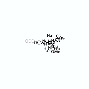 CCOc1ncc(-c2cc(N(C)CC(C)(C)COC)c3[nH]c(-c4cnc(N5CCC(OCC(=O)[O-])CC5)cn4)nc3n2)cc1C(F)(F)F.[Na+]